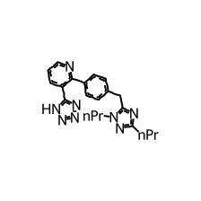 CCCc1nc(Cc2ccc(-c3ncccc3-c3nnn[nH]3)cc2)n(CCC)n1